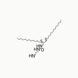 CCCCCCCCCCCCSCC(CNC(=O)NCCCNC)SCCCCCCCCCCCC